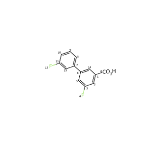 O=C(O)c1cc(F)cc(-c2cccc(F)c2)c1